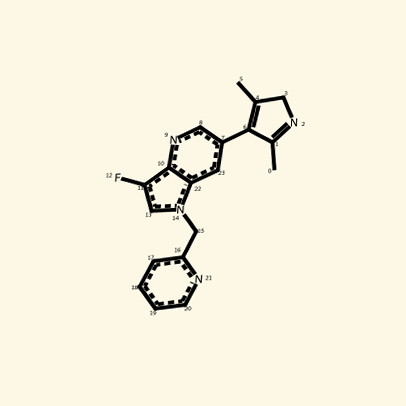 CC1=NCC(C)=C1c1cnc2c(F)cn(Cc3ccccn3)c2c1